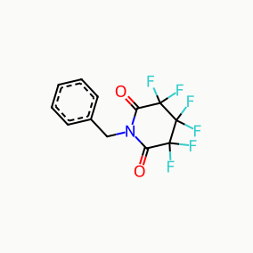 O=C1N(Cc2ccccc2)C(=O)C(F)(F)C(F)(F)C1(F)F